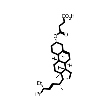 CC[C@H](/C=C/[C@@H](C)[C@H]1CC[C@H]2[C@@H]3CC=C4C[C@@H](OC(=O)CCC(=O)O)CC[C@]4(C)[C@H]3CC[C@]12C)C(C)C